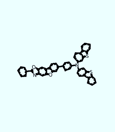 c1ccc(-c2nc3cc4oc5cc(-c6ccc(N(c7ccc8c(c7)sc7ccccc78)c7ccc8c(c7)sc7ccccc78)cc6)ccc5c4cc3o2)cc1